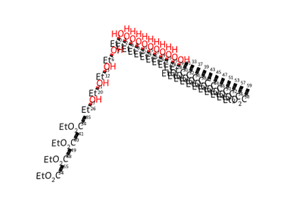 CCO.CCO.CCO.CCO.CCO.CCO.CCO.CCO.CCO.CCO.CCO.CCO.CCO.CCO.CCO.CCOC(C)=O.CCOC(C)=O.CCOC(C)=O.CCOC(C)=O.CCOC(C)=O.CCOC(C)=O.CCOC(C)=O.CCOC(C)=O.CCOC(C)=O.CCOC(C)=O.CCOC(C)=O.CCOC(C)=O.CCOC(C)=O.CCOC(C)=O.CCOC(C)=O